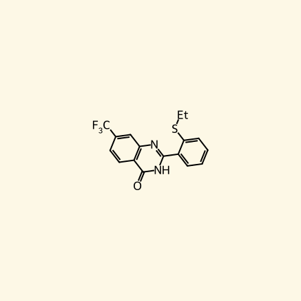 CCSc1ccccc1-c1nc2cc(C(F)(F)F)ccc2c(=O)[nH]1